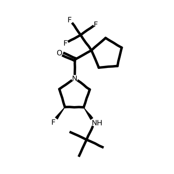 CC(C)(C)N[C@@H]1CN(C(=O)C2(C(F)(F)F)CCCC2)C[C@@H]1F